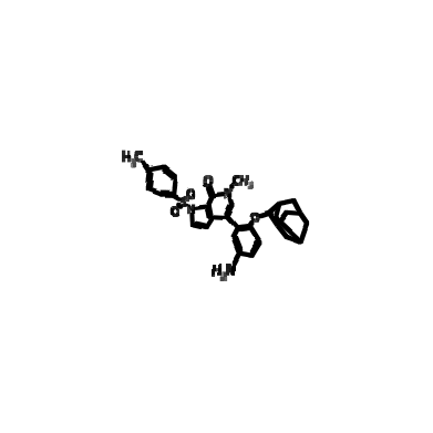 Cc1ccc(S(=O)(=O)n2ccc3c(-c4cc(N)ccc4OC4C5CC6CC(C5)CC4C6)cn(C)c(=O)c32)cc1